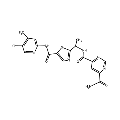 CC(NC(=O)c1cc(C(N)=O)ncn1)c1ncc(C(=O)Nc2cc(C(F)(F)F)c(Cl)cn2)s1